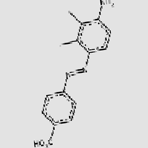 Cc1c(N)ccc(N=Nc2ccc(C(=O)O)cc2)c1C